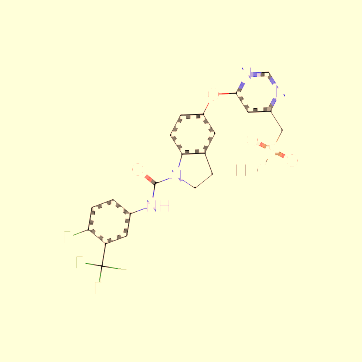 CS(=O)(=O)Cc1cc(Oc2ccc3c(c2)CCN3C(=O)Nc2ccc(F)c(C(F)(F)F)c2)ncn1